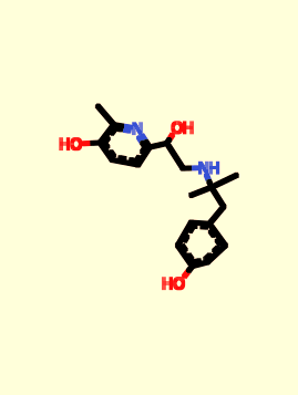 Cc1nc(C(O)CNC(C)(C)Cc2ccc(O)cc2)ccc1O